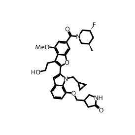 COc1cc(C(=O)N2C[C@H](C)C[C@@H](F)C2)cc2oc(-c3cc4cccc(OCC5CNC(=O)C5)c4n3CC3CC3)c(CCO)c12